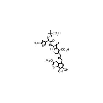 COC(=O)Cc1c(CNCC2=C(C(=O)O)N3C(=O)C(NC(=O)/C(=N\OC(C)(C)C(=O)O)c4csc(N)n4)[C@H]3SC2)cc(O)c(O)c1Br